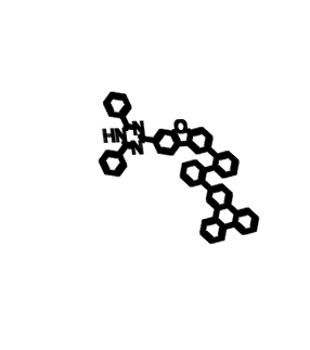 C1=CC(c2ccc3c4ccccc4c4ccccc4c3c2)=C(c2ccccc2-c2ccc3oc4cc(C5=NC(c6ccccc6)NC(c6ccccc6)=N5)ccc4c3c2)CC1